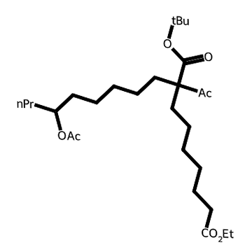 CCCC(CCCCCC(CCCCCCC(=O)OCC)(C(C)=O)C(=O)OC(C)(C)C)OC(C)=O